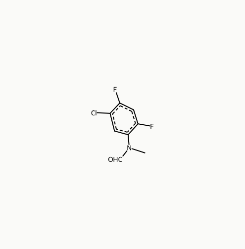 CN(C=O)c1cc(Cl)c(F)cc1F